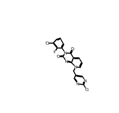 O=c1nc2n(Cc3cnc(Cl)nc3)cccc-2c(=O)n1-c1cccc(Cl)c1F